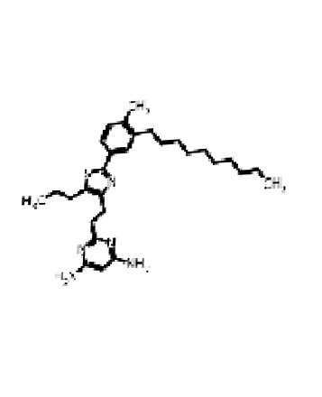 CCCCCCCCCCc1cc(-c2nc(CCc3nc(N)cc(N)n3)c(CCC)s2)ccc1C